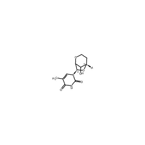 Cc1cn([C@@H]2O[C@H]3CCOC2C3O)c(=O)[nH]c1=O